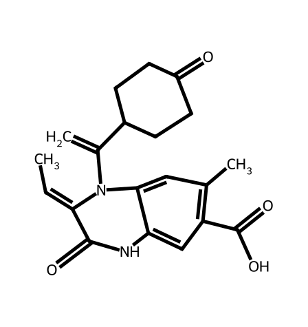 C=C(C1CCC(=O)CC1)N1/C(=C\C)C(=O)Nc2cc(C(=O)O)c(C)cc21